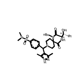 CCCCN1C(=O)[C@@H]([C@H](O)C(C)C)NC(=O)C12CCN(C(c1ccc(S(=O)(=O)N(C)C)cc1)c1c(C)n[nH]c1C)CC2